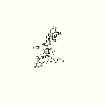 COCCCCOc1ccccc1C(=O)NC[C@@H](C[C@H](N)[C@@H](O)CNC(=O)[C@](OC)(C1CCCCC1)C(F)(F)F)C(C)C.Cl